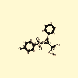 COC(=O)[C@@H]1[C@@H](c2ccccc2)N1S(=O)(=O)c1ccc(C)cc1